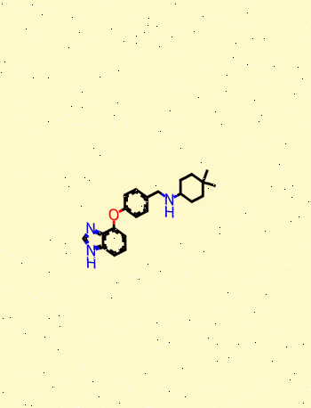 CC1(C)CCC(NCc2ccc(Oc3cccc4[nH]cnc34)cc2)CC1